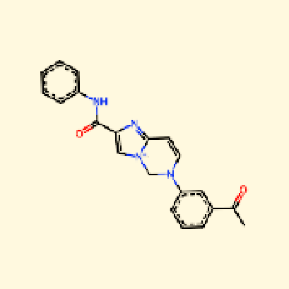 CC(=O)c1cccc(N2C=CC3=NC(C(=O)Nc4ccccc4)=C[N+]3C2)c1